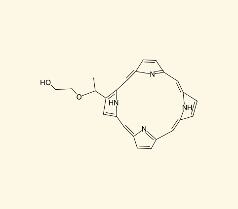 CC(OCCO)c1cc2cc3nc(cc4ccc(cc5nc(cc1[nH]2)C=C5)[nH]4)C=C3